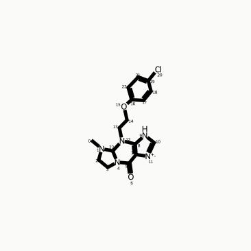 CN1CCN2C(=O)C3=C(NC=[N+]3)N(CCOc3ccc(Cl)cc3)C12